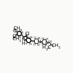 COc1ccc(-c2[nH]c3ccc(C4CCN(C5CCN(CC(C)C)CC5)CC4)cc3c2Cl)cc1OC